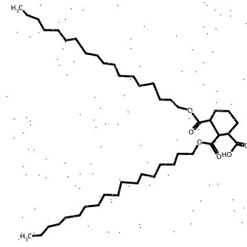 CCCCCCCCCCCCCCCCCCOC(=O)C1CCCC(C(=O)O)C1C(=O)OCCCCCCCCCCCCCCCCCC